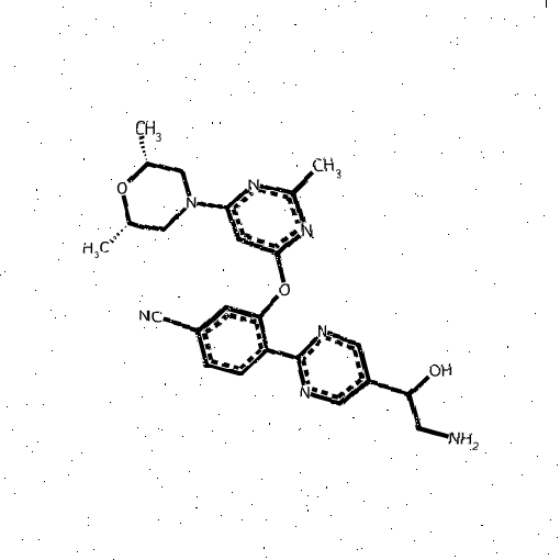 Cc1nc(Oc2cc(C#N)ccc2-c2ncc(C(O)CN)cn2)cc(N2C[C@@H](C)O[C@@H](C)C2)n1